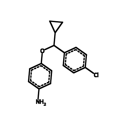 Nc1ccc(OC(c2ccc(Cl)cc2)C2CC2)cc1